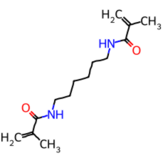 C=C(C)C(=O)NCCCCCCNC(=O)C(=C)C